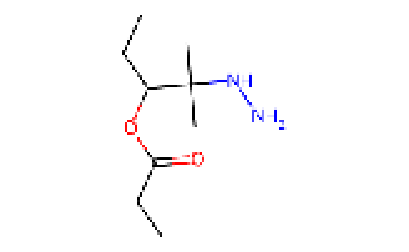 CCC(=O)OC(CC)C(C)(C)NN